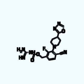 N#Cc1ccc(COC(=O)NC(=N)N)c(F)c1N1CCC(c2nnco2)CC1